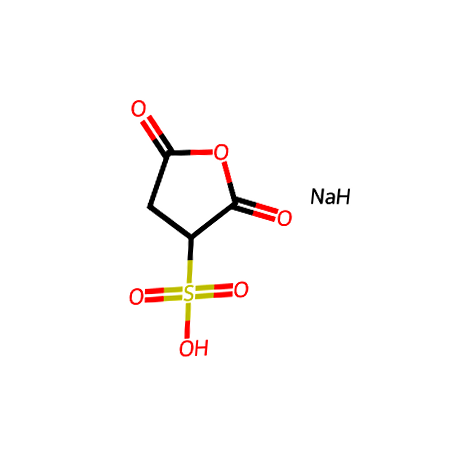 O=C1CC(S(=O)(=O)O)C(=O)O1.[NaH]